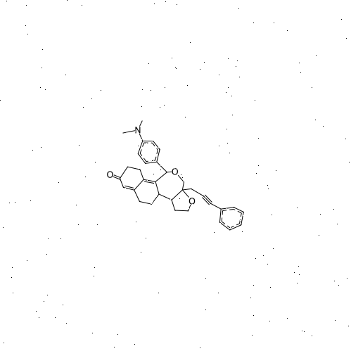 CN(C)c1ccc(C2OCC3(CC#Cc4ccccc4)OCCC3C3CCC4=CC(=O)CCC4=C23)cc1